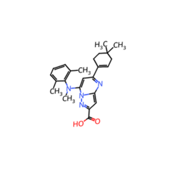 Cc1cccc(C)c1N(C)c1cc(C2=CCC(C)(C)CC2)nc2cc(C(=O)O)nn12